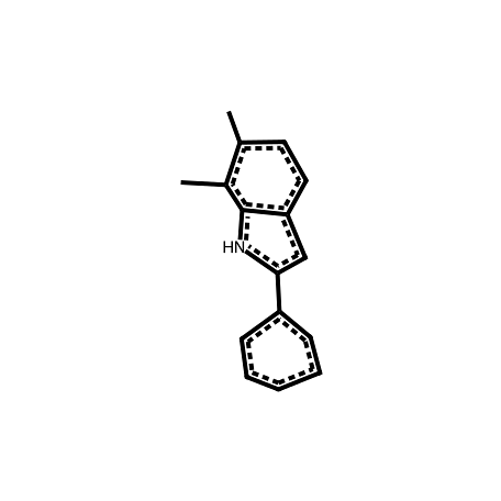 Cc1ccc2cc(-c3ccccc3)[nH]c2c1C